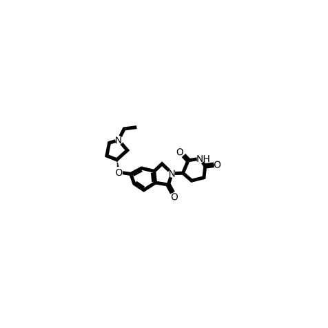 CCN1CC[C@@H](Oc2ccc3c(c2)CN(C2CCC(=O)NC2=O)C3=O)C1